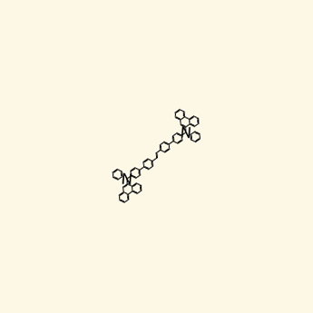 C(=C\c1ccc(-c2ccc(N(c3ccccc3)c3cc4ccccc4c4ccccc34)cc2)cc1)/c1ccc(-c2ccc(N(c3ccccc3)c3cc4ccccc4c4ccccc34)cc2)cc1